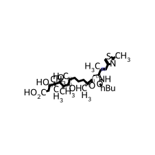 CCCCON[C@@H](C[C@@H]1O[C@]1(C)CCC[C@H](C)[C@H](O)[C@@H](C)C(=O)C(C)(C)[C@@H](O)CC(=O)O)/C(C)=C/c1csc(C)n1